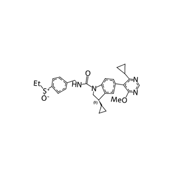 CC[S+]([O-])c1ccc(CNC(=O)N2C[C@H](C3CC3)c3cc(-c4c(OC)ncnc4C4CC4)ccc32)cc1